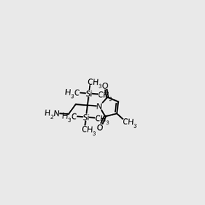 CC1=CC(=O)N(C(CCN)([Si](C)(C)C)[Si](C)(C)C)C1=O